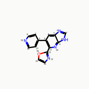 c1cc(-c2cc3nc[nH]c3nc2-c2ncco2)ccn1